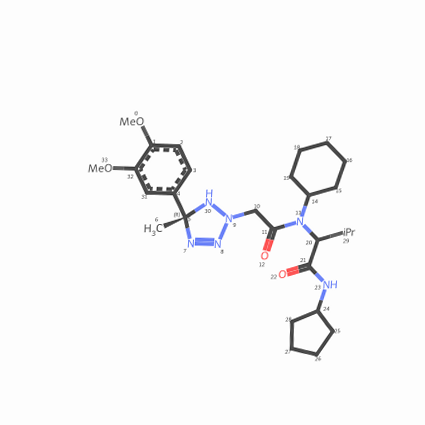 COc1ccc([C@@]2(C)N=NN(CC(=O)N(C3CCCCC3)C(C(=O)NC3CCCC3)C(C)C)N2)cc1OC